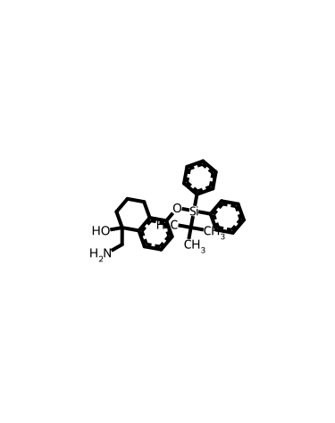 CC(C)(C)[Si](Oc1cccc2c1CCCC2(O)CN)(c1ccccc1)c1ccccc1